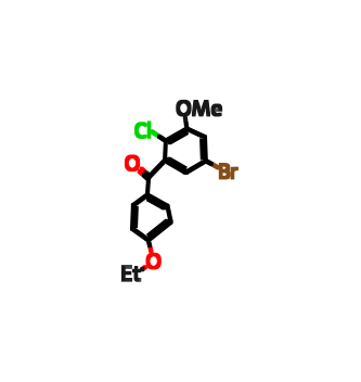 CCOc1ccc(C(=O)c2cc(Br)cc(OC)c2Cl)cc1